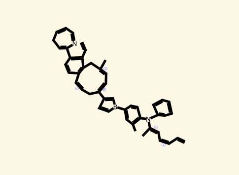 C=C/C=C\C=C(/C)N(c1ccccc1)c1ccc(B2C=CC(/C3=C/C=C(/C)Cc4c(ccc(C5=CCC=CC=N5)c4C=C)/C=C\C3)=C2)cc1C